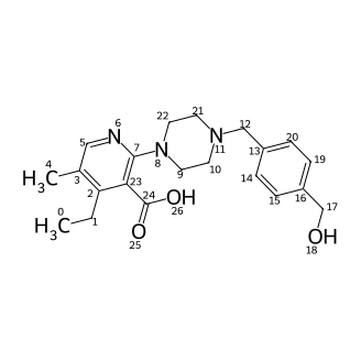 CCc1c(C)cnc(N2CCN(Cc3ccc(CO)cc3)CC2)c1C(=O)O